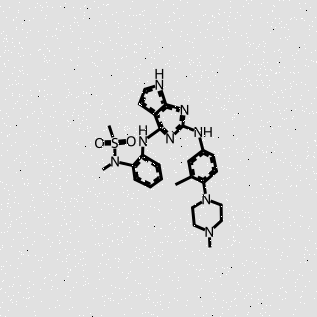 Cc1cc(Nc2nc(Nc3ccccc3N(C)S(C)(=O)=O)c3cc[nH]c3n2)ccc1N1CCN(C)CC1